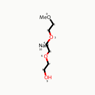 COCCOCCOCCO.[NaH]